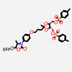 CO[C@@H]1OC(=O)N(c2ccc(OCCCC3(C)O[C@@H](COS(=O)(=O)c4ccc(C)cc4)[C@H](COS(=O)(=O)c4ccc(C)cc4)O3)cc2)C1C